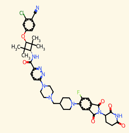 CC1(C)[C@H](NC(=O)c2ccc(N3CCN(CC4CCN(c5cc6c(cc5F)C(=O)N(C5CCC(=O)NC5=O)C6=O)CC4)CC3)nn2)C(C)(C)[C@H]1Oc1ccc(C#N)c(Cl)c1